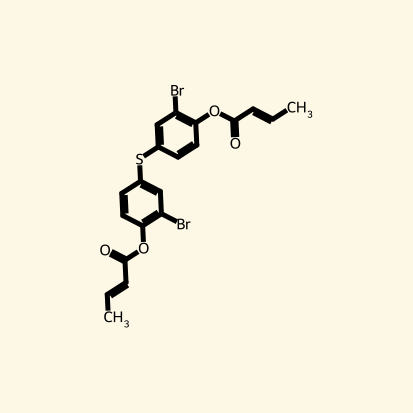 CC=CC(=O)Oc1ccc(Sc2ccc(OC(=O)C=CC)c(Br)c2)cc1Br